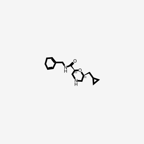 O=C(NCC1=CCCC=C1)[C@@H]1CNC[C@H](CC2CC2)O1